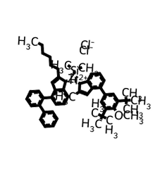 CCCCCCC1=Cc2c(-c3ccccc3-c3ccccc3)cccc2[CH]1[Zr+2]([CH]1C(C)=Cc2c(-c3cc(C(C)(C)C)c(OC)c(C(C)(C)C)c3)cccc21)[SiH](C)C.[Cl-].[Cl-]